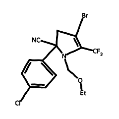 CCOCN1C(C(F)(F)F)=C(Br)CC1(C#N)c1ccc(Cl)cc1